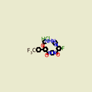 Cl.O=C(c1cc(F)cc(N2CCNCC2)c1)N1CCN(C(=O)c2ccc(O[C@H]3CCNC3)c(C3CCC(C(F)(F)F)CC3)c2)CC1